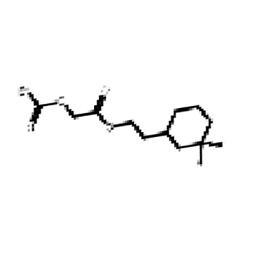 CCC(=O)OCC(=O)OCCC1CCCC(C)(C)C1